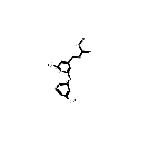 CC(C)(C)OC(=O)NCc1cc(Oc2cncc(C(=O)O)c2)nc(C(F)(F)F)c1